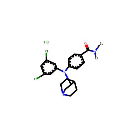 CCN(CC)C(=O)c1ccc(N(c2cc(Cl)cc(Cl)c2)C2CN3CCC2CC3)cc1.Cl